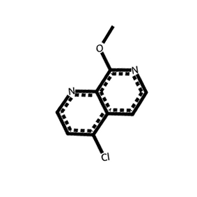 COc1nccc2c(Cl)ccnc12